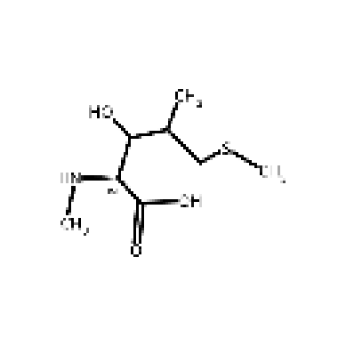 CN[C@H](C(=O)O)C(O)C(C)CSC